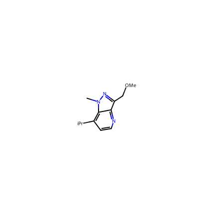 COCc1nn(C)c2c(C(C)C)ccnc12